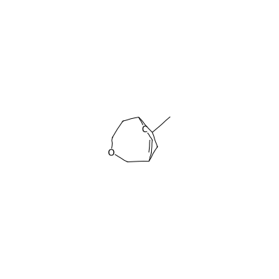 CC1CC2C=CCC1CCOC2